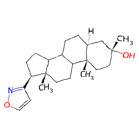 C[C@@]1(O)CC[C@]2(C)C3CC[C@@]4(C)C(CC[C@@H]4c4ccon4)C3CC[C@H]2C1